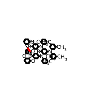 Cc1cc(C)cc(N(c2cc(C)cc(C)c2)c2cc3c4c(c2)N(c2ccccc2C)c2cc5c6c(c2B4c2cc4c(cc2N3c2ccccc2C)Oc2cccc3c2B4c2ccccc2O3)Oc2ccccc2B6c2ccccc2O5)c1